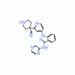 N#CC1(c2cc(-n3nc(Nc4cnccn4)c4ccccc43)ccn2)CCNCC1